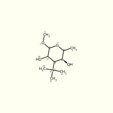 COC1OC(C)[C@@H](O)C([N+](C)(C)C)C1O